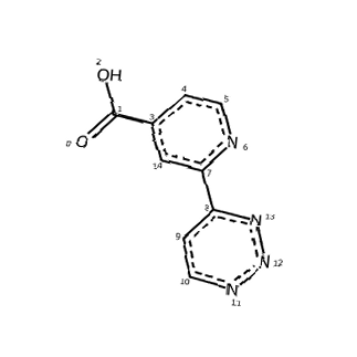 O=C(O)c1ccnc(-c2ccnnn2)c1